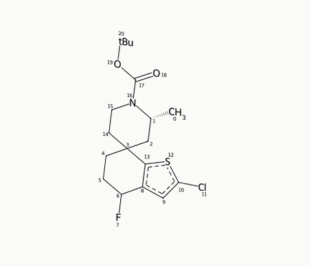 C[C@@H]1CC2(CCC(F)c3cc(Cl)sc32)CCN1C(=O)OC(C)(C)C